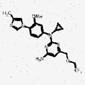 COc1cc(N(c2nc(N)cc(COCC(F)(F)F)n2)C2CC2)ccc1-n1cnc(C)c1